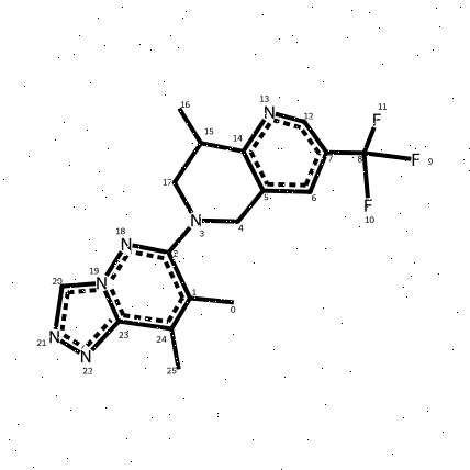 Cc1c(N2Cc3cc(C(F)(F)F)cnc3C(C)C2)nn2cnnc2c1C